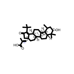 C/C(=C\[C@@]12CC[C@@H]3[C@H](CC[C@@H]4[C@H]5C(C)C[C@H](O)C(C)(C)[C@@H]5CC[C@]43C)C1=C(C(C)(C)C)C(=O)C2)C(=O)O